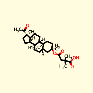 CC(=O)[C@H]1CC[C@H]2[C@@H]3CC[C@H]4C[C@](C)(OC(=O)CC(C)(C)C(=O)O)CC[C@]4(C)[C@H]3CC[C@]12C